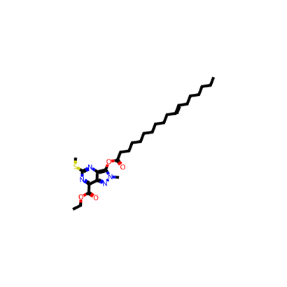 CCCCCCC=CCCCCCCCCCC(=O)Oc1c2nc(SC)nc(C(=O)OCC)c2nn1C